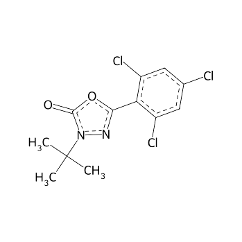 CC(C)(C)n1nc(-c2c(Cl)cc(Cl)cc2Cl)oc1=O